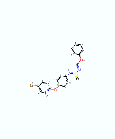 C#S(N=COc1ccccc1)=Nc1ccc(Oc2ncc(Br)cn2)cc1